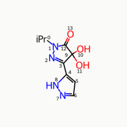 CC(C)N1N=C(c2ccn[nH]2)C(O)(O)C1=O